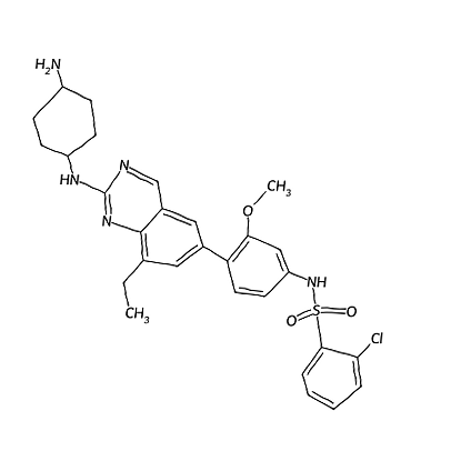 CCc1cc(-c2ccc(NS(=O)(=O)c3ccccc3Cl)cc2OC)cc2cnc(NC3CCC(N)CC3)nc12